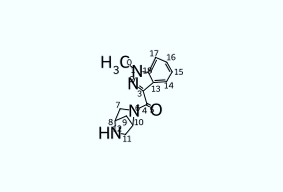 Cn1nc(C(=O)N2CC3CC2CN3)c2ccccc21